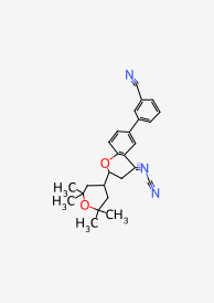 CC1(C)CC(C2C/C(=N\C#N)c3cc(-c4cccc(C#N)c4)ccc3O2)CC(C)(C)O1